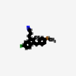 CSc1ccc(C=C2C(C)=C(CCC#N)c3cc(F)ccc32)cc1